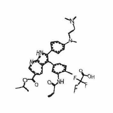 C=CC(=O)Nc1cc(-c2c(-c3ccc(N(C)CCN(C)C)cc3)[nH]c3ncc(C(=O)OC(C)C)cc23)ccc1C.O=C(O)C(F)(F)F